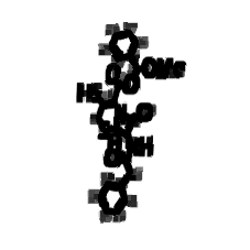 COC(OC(=O)C1=C(S)CS[C@H]2[C@H](NC(=O)Cc3ccccc3)C(=O)N12)c1ccccc1